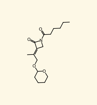 CCCCCC(=O)N1C/C(=C(/C)COC2CCCCO2)C1=O